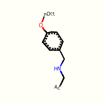 CCCCCCCCOc1ccc(CNCC(C)=O)cc1